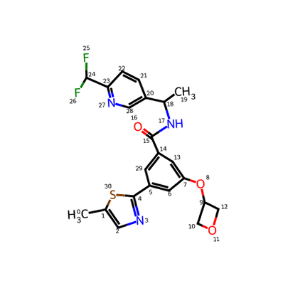 Cc1cnc(-c2cc(OC3COC3)cc(C(=O)NC(C)c3ccc(C(F)F)nc3)c2)s1